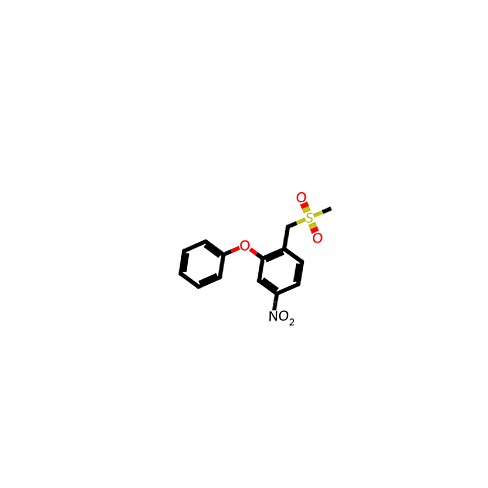 CS(=O)(=O)Cc1ccc([N+](=O)[O-])cc1Oc1ccccc1